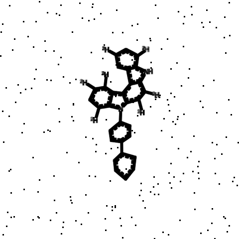 [2H]c1cc([2H])c2[nH]c3c([2H])c([2H])c4c(c5c([2H])c([2H])cc([2H])c5n4-c4ccc(-c5ccccc5)cc4)c3c2c1